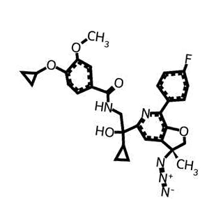 COc1cc(C(=O)NCC(O)(c2cc3c(c(-c4ccc(F)cc4)n2)OC[C@]3(C)N=[N+]=[N-])C2CC2)ccc1OC1CC1